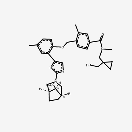 Cc1ccc(OCc2ccc(C(=O)N(C)CC3(CO)CC3)cc2C)c(-c2csc(N3C[C@H]4CC[C@@H](C3)[C@H]4C(=O)O)n2)c1